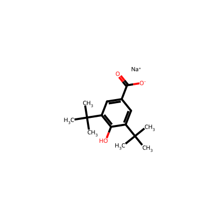 CC(C)(C)c1cc(C(=O)[O-])cc(C(C)(C)C)c1O.[Na+]